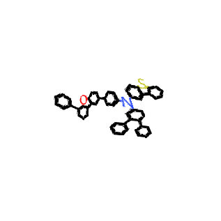 c1ccc(-c2ccc(N(c3ccc(-c4ccc5oc6c(-c7ccccc7)cccc6c5c4)cc3)c3ccc4sc5ccccc5c4c3)cc2-c2ccccc2)cc1